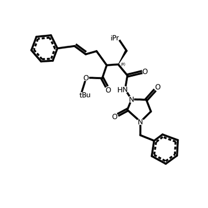 CC(C)C[C@@H](C(=O)NN1C(=O)CN(Cc2ccccc2)C1=O)C(CC=Cc1ccccc1)C(=O)OC(C)(C)C